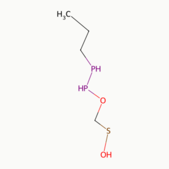 CCCPPOCSO